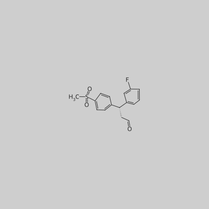 CS(=O)(=O)c1ccc([C@@H](CC=O)c2cccc(F)c2)cc1